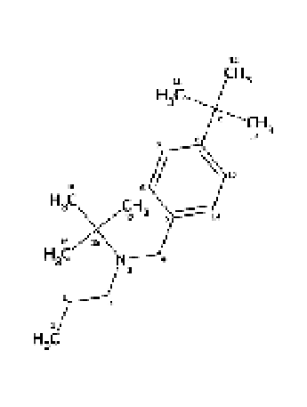 CCCN(Cc1ccc(C(C)(C)C)cc1)C(C)(C)C